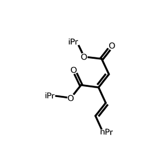 CCCC=CC(=CC(=O)OC(C)C)C(=O)OC(C)C